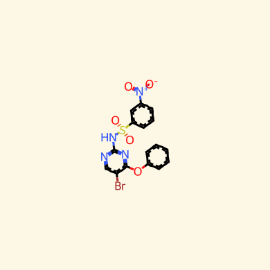 O=[N+]([O-])c1cccc(S(=O)(=O)Nc2ncc(Br)c(Oc3ccccc3)n2)c1